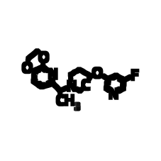 CC(c1ccc2c(n1)OCCO2)N1CCC(Oc2cncc(F)c2)CC1